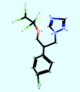 FC(F)C(F)(F)OCC(Cn1cncn1)c1ccc(Cl)cc1